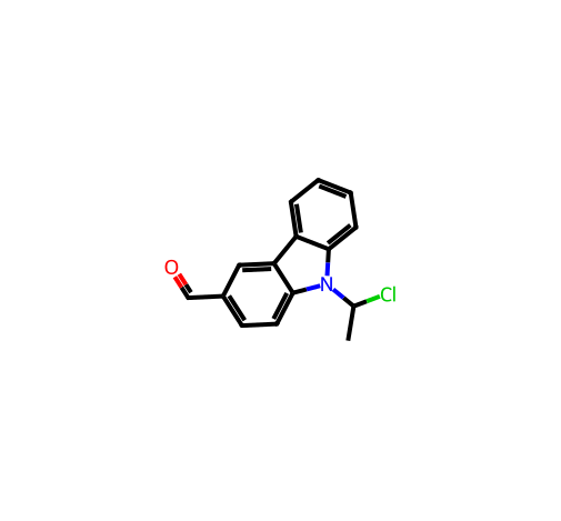 CC(Cl)n1c2ccccc2c2cc(C=O)ccc21